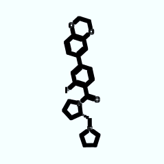 O=C(c1ccc(-c2ccc3c(c2)OCCO3)cc1F)N1CCC[C@H]1CN1CCCC1